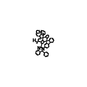 C/C=C\C1=C(C)C2(c3ccccc31)c1ccccc1C1(c3ccccc3-c3ccccc31)c1cc(-c3nc(-c4ccccc4)c4ccccc4n3)ccc12